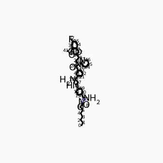 CCCCCCOC(=O)/N=C(\N)c1ccc(NCC(N)c2cccc(C(=O)N(CCC(=O)Oc3ccc(F)cc3OC)c3ccccn3)c2)cc1